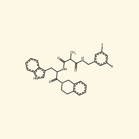 CC(C(=O)NCc1cc(F)cc(F)c1)C(=O)NC(Cc1c[nH]c2ccccc12)C(=O)N1CCc2ccccc2C1